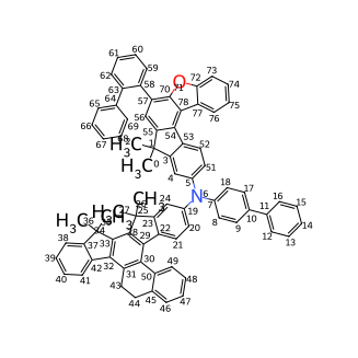 CC1(C)c2cc(N(c3ccc(-c4ccccc4)cc3)c3ccc4c(c3)C(C)(C)c3c-4c4c(c5c3C(C)(C)c3ccccc3-5)CCc3ccccc3-4)ccc2-c2c1cc(-c1ccccc1-c1ccccc1)c1oc3ccccc3c21